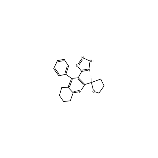 C[C@]1(c2nc3c(c(-c4ccccc4)c2-c2nn[nH]n2)CCCC3)CCCO1